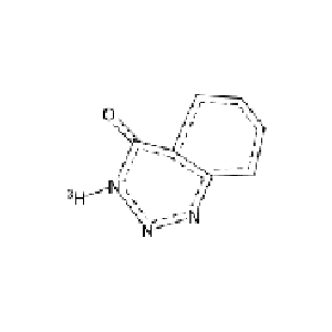 [3H]n1nnc2ccccc2c1=O